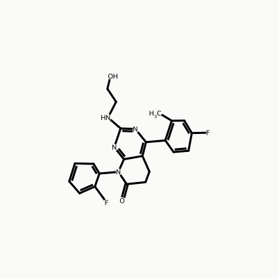 Cc1cc(F)ccc1-c1nc(NCCO)nc2c1CCC(=O)N2c1ccccc1F